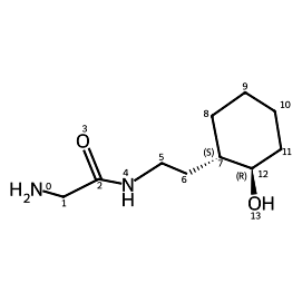 NCC(=O)NCC[C@@H]1CCCC[C@H]1O